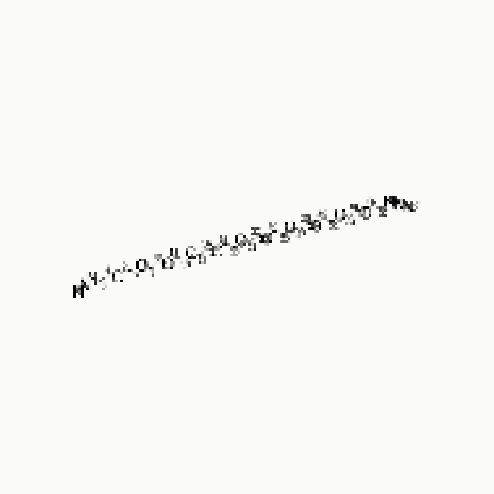 [N-]=[N+]=NCCOCCOCCOCCOCCOCCOCCOCCOCCOCCOCCOCCN=[N+]=[N-]